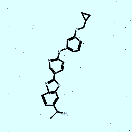 C[C@H](N)c1ccc2nc(-c3ccc(Oc4cccc(OCC5CC5)c4)nc3)oc2c1